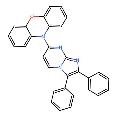 c1ccc(-c2nc3nc(N4c5ccccc5Oc5ccccc54)ccn3c2-c2ccccc2)cc1